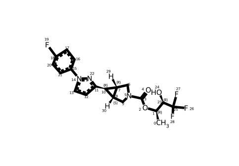 C[C@@H](OC(=O)N1C[C@@H]2[C@H](C1)[C@H]2c1ccn(-c2ccc(F)cc2)n1)[C@@H](O)C(F)(F)F